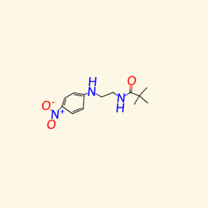 CC(C)(C)C(=O)NCCNc1ccc([N+](=O)[O-])cc1